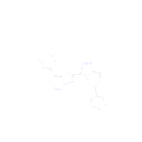 Oc1cc(F)cc(-c2ccnc3[nH]c(-c4n[nH]c5cnc(-c6cccnc6)cc45)cc23)c1